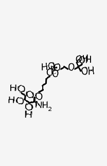 N[C@H]1C(O)[C@@H](O)C(CO)O[C@H]1OCCCCCCOP(=O)(O)OCCCOCC(CO)(CO)CO